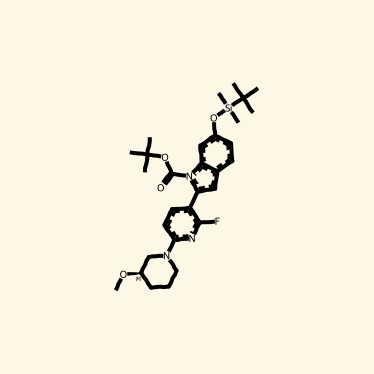 CO[C@@H]1CCCN(c2ccc(-c3cc4ccc(O[Si](C)(C)C(C)(C)C)cc4n3C(=O)OC(C)(C)C)c(F)n2)C1